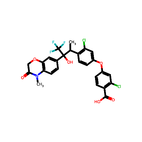 CC(c1ccc(Oc2ccc(C(=O)O)c(Cl)c2)cc1Cl)C(O)(c1ccc2c(c1)OCC(=O)N2C)C(F)(F)F